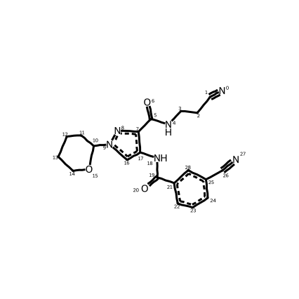 N#CCCNC(=O)c1nn(C2CCCCO2)cc1NC(=O)c1cccc(C#N)c1